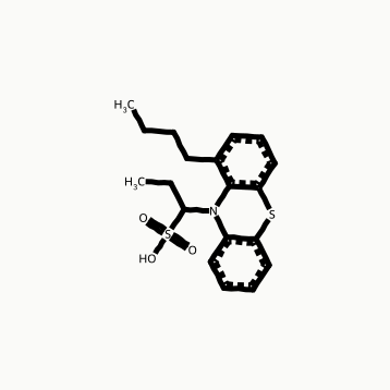 CCCCc1cccc2c1N(C(CC)S(=O)(=O)O)c1ccccc1S2